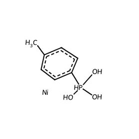 Cc1ccc([PH](O)(O)O)cc1.[Ni]